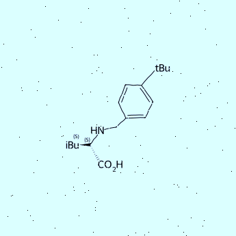 CC[C@H](C)[C@H](NCc1ccc(C(C)(C)C)cc1)C(=O)O